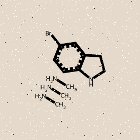 Brc1ccc2c(c1)CCN2.CN.CN.CN